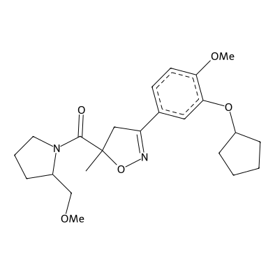 COCC1CCCN1C(=O)C1(C)CC(c2ccc(OC)c(OC3CCCC3)c2)=NO1